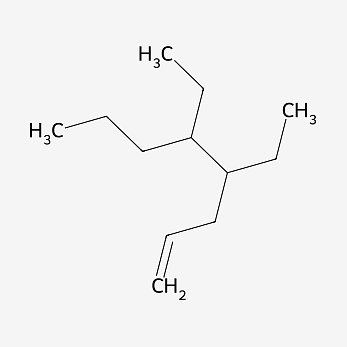 C=CCC(CC)C(CC)CCC